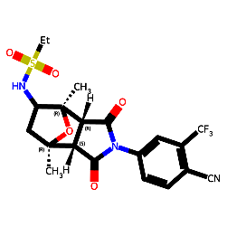 CCS(=O)(=O)NC1C[C@@]2(C)O[C@]1(C)[C@@H]1C(=O)N(c3ccc(C#N)c(C(F)(F)F)c3)C(=O)[C@@H]12